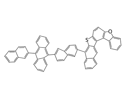 c1ccc2cc(-c3c4ccccc4c(-c4ccc5cc(-c6c7ccccc7cc7c6sc6ccc8oc9ccccc9c8c67)ccc5c4)c4ccccc34)ccc2c1